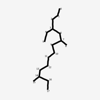 CCCC(CC)CC(C)CCC[CH]CC(C)CC